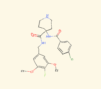 CCOc1cc(CNC(=O)C2(NC(=O)c3ccc(Cl)cc3)CCNCC2)cc(OCC)c1F